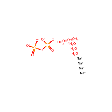 O.O.O.O.O.O.O.O=P([O-])([O-])OP(=O)([O-])[O-].[Na+].[Na+].[Na+].[Na+]